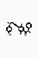 Cc1cc(C(=O)N(C)c2ccccc2)c(C)cc1C#CCN(C)c1ccc(C#N)cc1